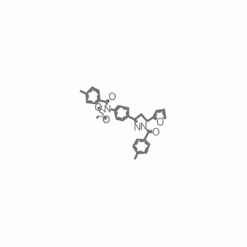 Cc1ccc(C(=O)N2N=C(c3ccc(N(C(=O)c4ccc(C)cc4)S(C)(=O)=O)cc3)CC2c2ccco2)cc1